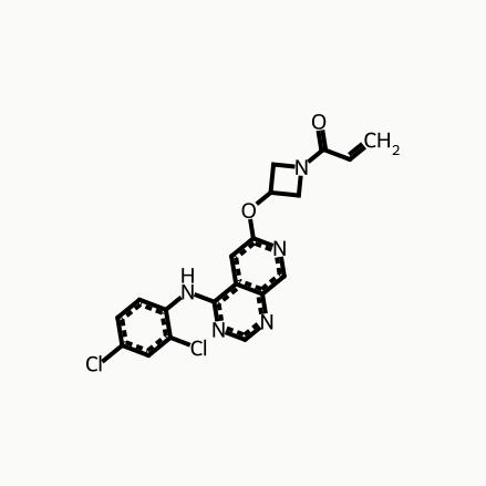 C=CC(=O)N1CC(Oc2cc3c(Nc4ccc(Cl)cc4Cl)ncnc3cn2)C1